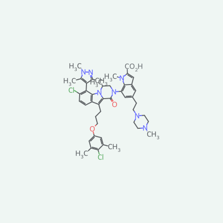 Cc1cc(OCCCc2c3n(c4c(-c5c(C)nn(C)c5C)c(Cl)ccc24)C(C)CN(c2cc(CCN4CCN(C)CC4)cc4cc(C(=O)O)n(C)c24)C3=O)cc(C)c1Cl